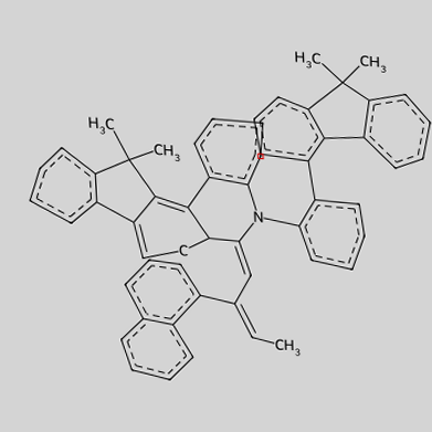 C/C=C(\C=C1/C2CC=C3C(=C2c2ccccc2N1c1ccccc1-c1cccc2c1-c1ccccc1C2(C)C)C(C)(C)c1ccccc13)c1cccc2ccccc12